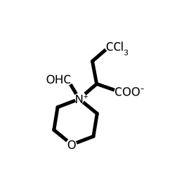 O=C[N+]1(C(CC(Cl)(Cl)Cl)C(=O)[O-])CCOCC1